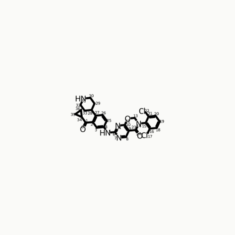 O=C(c1cc(Nc2ncc3c(n2)OCN(c2c(Cl)cccc2Cl)C3=O)ccc1C1CCNCC1)C1CC1